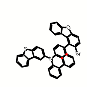 Brc1ccc2oc3ccccc3c2c1-c1ccc(N(c2ccc3sc4ccccc4c3c2)c2ccccc2-c2ccccc2)cc1